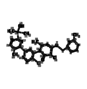 Cc1cccc(COc2cc(C)n(-c3cc(-c4nc(C(C)(C)O)ncc4C)ncc3Cl)c(=O)c2Cl)n1